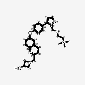 C[Si](C)(C)CCOCn1nccc1-c1ccc(Oc2ccc3nc(CN4CC(O)C4)ccc3c2)nc1